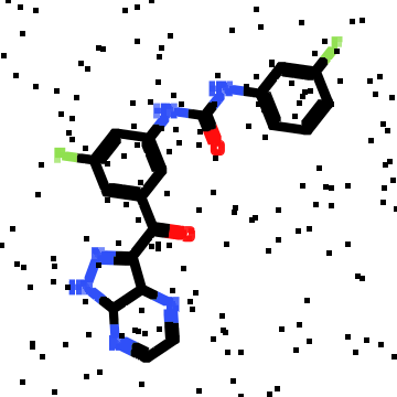 O=C(Nc1cccc(F)c1)Nc1cc(F)cc(C(=O)C2=NNC3N=CC=NC23)c1